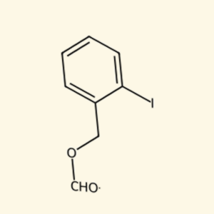 O=[C]OCc1ccccc1I